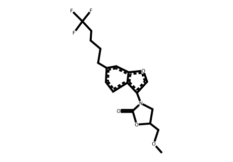 COCC1CN(c2coc3cc(CCCCC(F)(F)F)ccc23)C(=O)O1